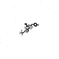 O=C(Cc1ccc(F)cc1)Nn1c(C2CC2)nc2c(cnn2CCC(F)(F)F)c1=O